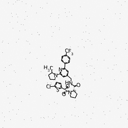 CC1CCCN1c1cc(CNC(=O)[C@@H]2CCCN2S(=O)(=O)c2ccc(Cl)s2)cc(-c2ccc(C(F)(F)F)cc2)n1